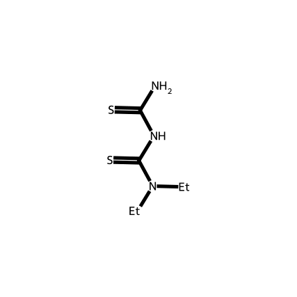 CCN(CC)C(=S)NC(N)=S